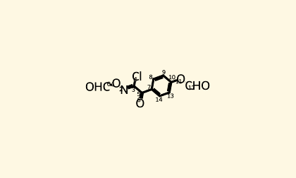 O=CON=C(Cl)C(=O)c1ccc(OC=O)cc1